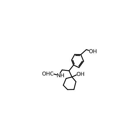 O=CNCC(c1ccc(CO)cc1)C1(O)CCCCC1